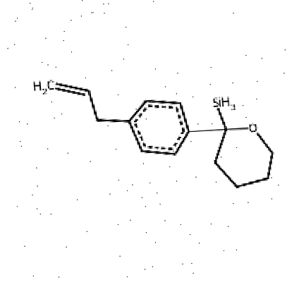 C=CCc1ccc(C2([SiH3])CCCCO2)cc1